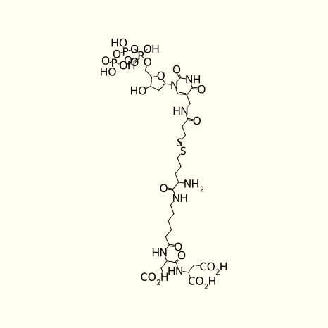 NC(CCCSSCCC(=O)NCc1cn(C2CC(O)C(COP(=O)(O)OP(=O)(O)OP(=O)(O)O)O2)c(=O)[nH]c1=O)C(=O)NCCCCCC(=O)NC(CC(=O)O)C(=O)NC(CC(=O)O)C(=O)O